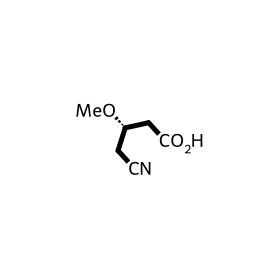 CO[C@@H](CC#N)CC(=O)O